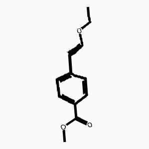 CCOC=Cc1ccc(C(=O)OC)cc1